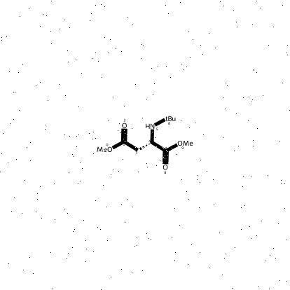 COC(=O)C[C@H](NC(C)(C)C)C(=O)OC